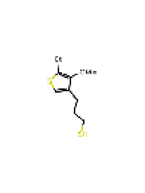 CCc1scc(CCCS)c1OC